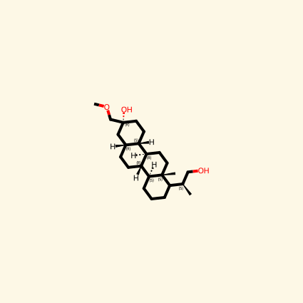 COC[C@@]1(O)CC[C@H]2[C@H](CC[C@@H]3[C@@H]2CC[C@]2(C)C([C@H](C)CO)CCC[C@@H]32)C1